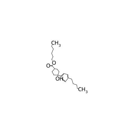 CCCCCCOC(=O)C1CCC(O)(c2ccc(CCCCC)cc2)CC1